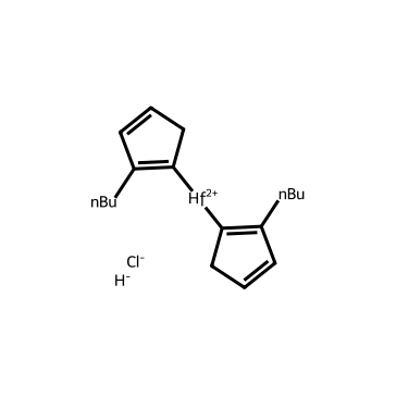 CCCCC1=[C]([Hf+2][C]2=C(CCCC)C=CC2)CC=C1.[Cl-].[H-]